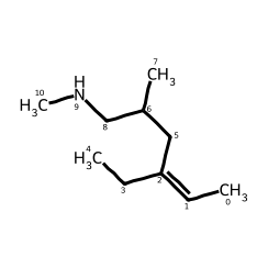 C/C=C(/CC)CC(C)CNC